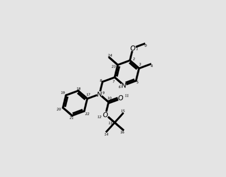 COc1c(C)cnc(CN(C(=O)OC(C)(C)C)c2ccccc2)c1C